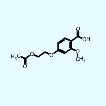 COc1cc(OCCOC(C)=O)ccc1C(=O)O